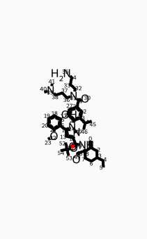 C=C1CC(CC)CCC1(NC(=O)c1cc(-c2c(O)cccc2OC)n(-c2c#cc(C(=O)N(CCCN)CCCN(C)C)cc2C(C)C)n1)C(=O)OC(C)(C)C